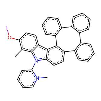 Cc1c(OI)ccc2c3c4c(ccc3n(-c3cccc[n+]3C)c12)-c1ccccc1-c1ccccc1-c1ccccc1-4